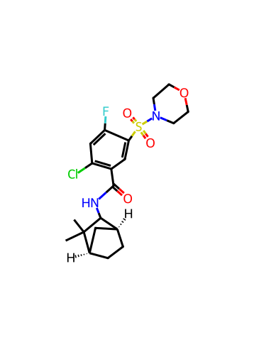 CC1(C)C(NC(=O)c2cc(S(=O)(=O)N3CCOCC3)c(F)cc2Cl)[C@H]2CC[C@@H]1C2